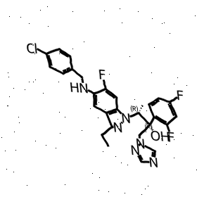 CCc1nn([C@H](C)[C@](O)(Cn2cncn2)c2ccc(F)cc2F)c2cc(F)c(NCc3ccc(Cl)cc3)cc12